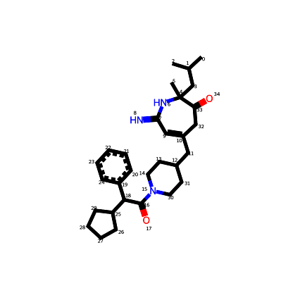 CC(C)CC1(C)NC(=N)C=C(CC2CCN(C(=O)C(c3ccccc3)C3CCCC3)CC2)CC1=O